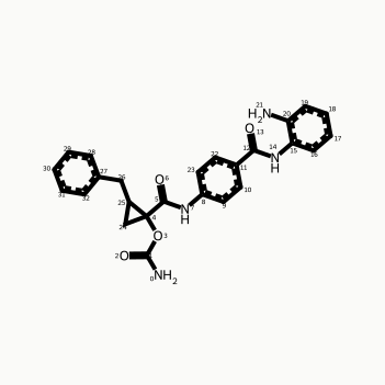 NC(=O)OC1(C(=O)Nc2ccc(C(=O)Nc3ccccc3N)cc2)CC1Cc1ccccc1